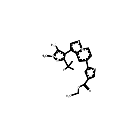 CCOC(=O)c1coc(-c2ccn3ncc(-c4c(C(F)(F)F)nn(C)c4C)c3c2)c1